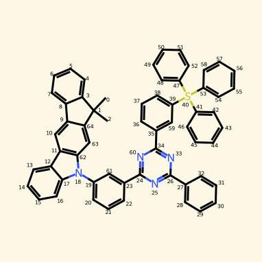 CC1(C)c2ccccc2-c2cc3c4ccccc4n(-c4cccc(-c5nc(-c6ccccc6)nc(-c6cccc(S(c7ccccc7)(c7ccccc7)c7ccccc7)c6)n5)c4)c3cc21